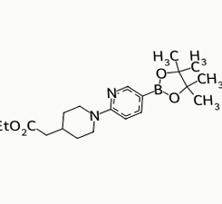 CCOC(=O)CC1CCN(c2ccc(B3OC(C)(C)C(C)(C)O3)cn2)CC1